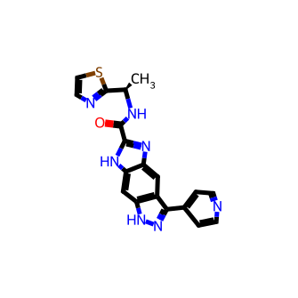 C[C@@H](NC(=O)c1nc2cc3c(-c4ccncc4)n[nH]c3cc2[nH]1)c1nccs1